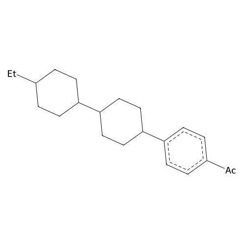 CCC1CCC(C2CCC(c3ccc(C(C)=O)cc3)CC2)CC1